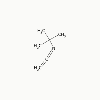 C=C=NC(C)(C)C